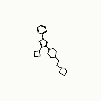 c1ccc(-n2cc(N3CCC(CCN4CCCC4)CC3)c(C3CCC3)n2)cc1